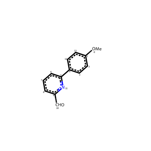 COc1ccc(-c2cccc(C=O)n2)cc1